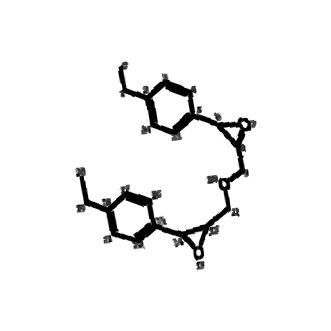 CCc1ccc(C2OC2COCC2OC2c2ccc(CC)cc2)cc1